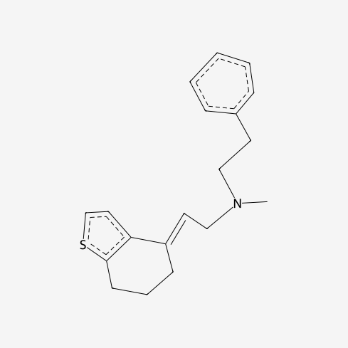 CN(CC=C1CCCc2sccc21)CCc1ccccc1